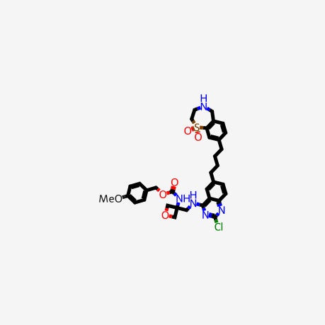 COc1ccc(COC(=O)NC2(CNc3nc(Cl)nc4ccc(CCCCc5ccc6c(c5)S(=O)(=O)CCNC6)cc34)COC2)cc1